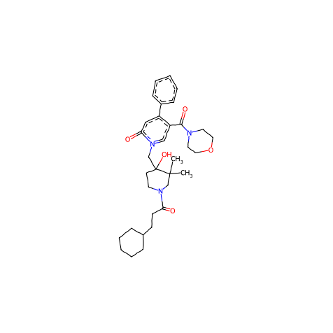 CC1(C)CN(C(=O)CCC2CCCCC2)CCC1(O)Cn1cc(C(=O)N2CCOCC2)c(-c2ccccc2)cc1=O